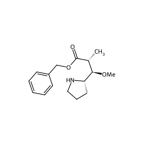 CO[C@@H]([C@@H]1CCCN1)[C@@H](C)C(=O)OCc1ccccc1